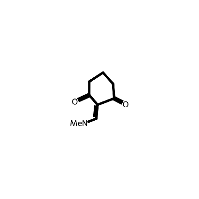 CNC=C1C(=O)CCCC1=O